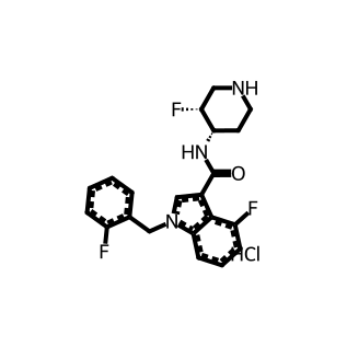 Cl.O=C(N[C@H]1CCNC[C@H]1F)c1cn(Cc2ccccc2F)c2cccc(F)c12